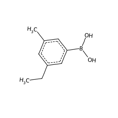 CCc1cc(C)cc(B(O)O)c1